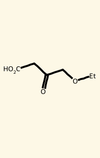 [CH2]COCC(=O)CC(=O)O